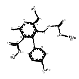 COc1ccc(-c2c(CNC(=O)OC(C)(C)C)c(CC(C)C)nc(C)c2C(=O)OC(C)(C)C)cc1